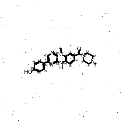 COc1cc(C(=O)N2CCN(C)CC2)ccc1Nc1cncc(-c2ccc(O)cc2)n1